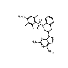 COc1cc(C)c(S(=O)(=O)N2CC(n3ncc4c(N)nc(N)nc43)Cc3ccccc32)c(C)c1C